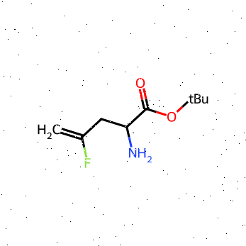 C=C(F)CC(N)C(=O)OC(C)(C)C